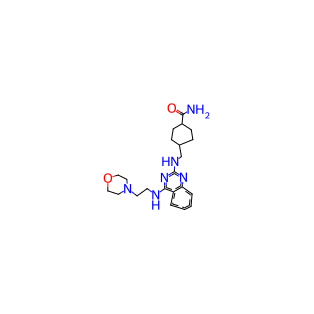 NC(=O)C1CCC(CNc2nc(NCCN3CCOCC3)c3ccccc3n2)CC1